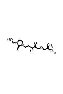 C=C(C)COCC(=O)NCCN1CCN(CO)C1=S